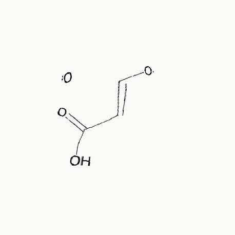 [O].[O]C=CC(=O)O